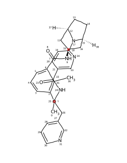 COc1cccc(C(=O)N[C@H]2C[C@H]3CC[C@@H](C2)N3c2ccc(C(=O)NCCc3cccnc3)cn2)c1C